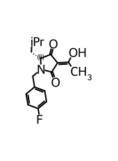 CC(O)=C1C(=O)[C@@H](CC(C)C)N(Cc2ccc(F)cc2)C1=O